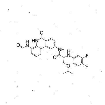 CC(C)OC[C@H](Nc1ccc(F)c(F)c1)C(=O)Nc1ccc2c(=O)[nH]c3c(NC=O)cccc3c2c1